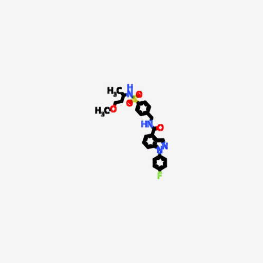 COCCC(C)NS(=O)(=O)c1ccc(CNC(=O)c2cccc3c2cnn3-c2ccc(F)cc2)cc1